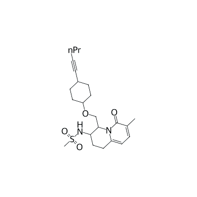 CCCC#CC1CCC(OCC2C(NS(C)(=O)=O)CCc3ccc(C)c(=O)n32)CC1